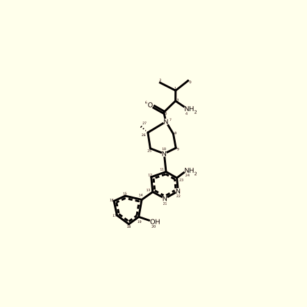 CC(C)C(N)C(=O)N1CCN(c2cc(-c3ccccc3O)nnc2N)C[C@@H]1C